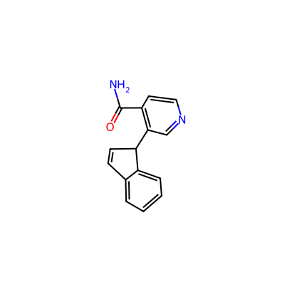 NC(=O)c1ccncc1C1C=Cc2ccccc21